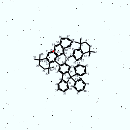 CC1(C)CCC(C)(C)c2cc(N(c3cc4c(cc3-c3cccc5c3C(C)(C)CCC5(C)C)-c3ccccc3C4(c3ccccc3)c3ccccc3)c3cccc4ccccc34)ccc21